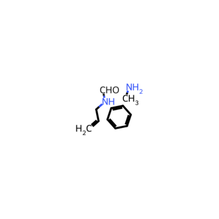 C=CCNC=O.CN.c1ccccc1